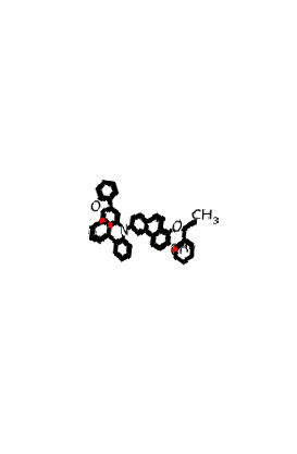 C/C=C(\Oc1c(C)ccc2c1ccc1ccc(N(c3ccc4oc5ccccc5c4c3)c3ccccc3-c3ccccc3)cc12)C1=CCCCC1